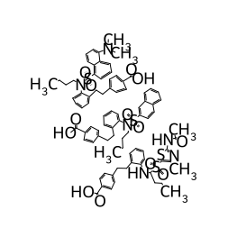 CCCC(Nc1ccccc1CCc1ccc(C(=O)O)cc1)S(=O)(=O)c1sc(NC(C)=O)nc1C.CCCCN(c1ccccc1CCc1ccc(C(=O)O)cc1)S(=O)(=O)c1ccc2ccccc2c1.CCCCN(c1ccccc1CCc1ccc(C(=O)O)cc1)S(=O)(=O)c1cccc2c(N(C)C)cccc12